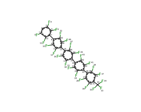 Fc1cc(F)c(F)c(-c2c(F)c(F)c(-c3c(F)c(F)c(-c4c(F)c(F)c(-c5c(F)c(F)c(C(F)(F)F)c(F)c5F)c(F)c4F)c(F)c3F)c(F)c2F)c1F